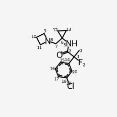 CC(F)(C(=O)NC1(CN2CCC2)CC1)c1cccc(Cl)c1